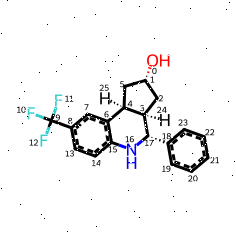 O[C@@H]1C[C@@H]2[C@H](C1)c1cc(C(F)(F)F)ccc1N[C@H]2c1ccccc1